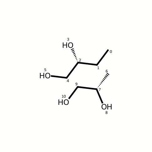 CC[C@@H](O)CO.C[C@H](O)CO